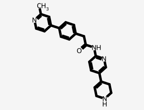 Cc1cc(-c2ccc(CC(=O)Nc3ccc(C4=CCNCC4)cn3)cc2)ccn1